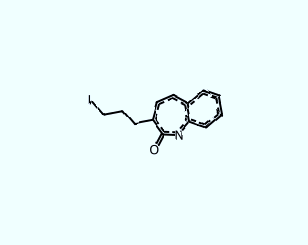 O=c1nc2ccccc2ccc1CCCI